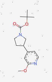 COc1cc(C2CCN(C(=O)OC(C)(C)C)C2)ccn1